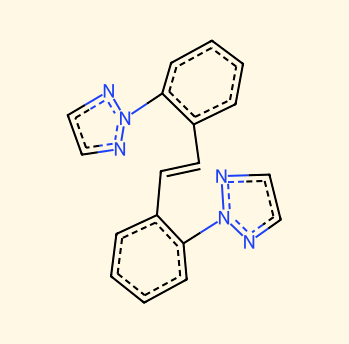 C(=C\c1ccccc1-n1nccn1)/c1ccccc1-n1nccn1